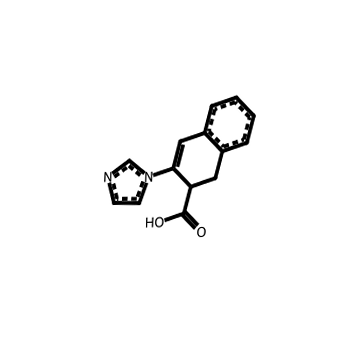 O=C(O)C1Cc2ccccc2C=C1n1ccnc1